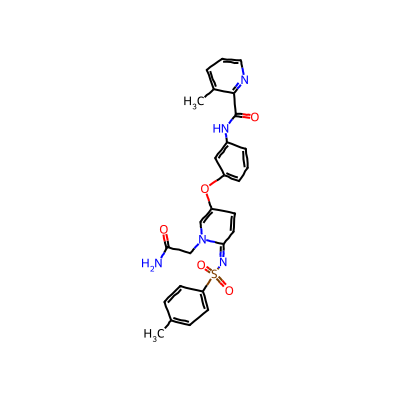 Cc1ccc(S(=O)(=O)/N=c2/ccc(Oc3cccc(NC(=O)c4ncccc4C)c3)cn2CC(N)=O)cc1